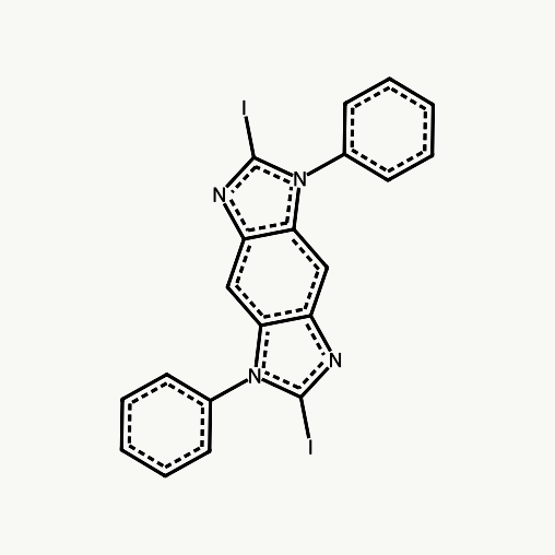 Ic1nc2cc3c(cc2n1-c1ccccc1)nc(I)n3-c1ccccc1